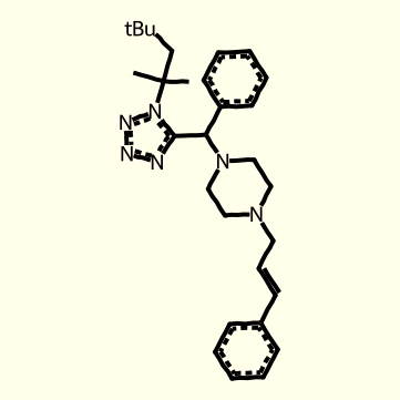 CC(C)(C)CC(C)(C)n1nnnc1C(c1ccccc1)N1CCN(C/C=C/c2ccccc2)CC1